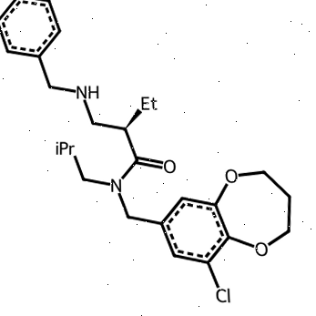 CC[C@H](CNCc1ccccc1)C(=O)N(Cc1cc(Cl)c2c(c1)OCCCO2)CC(C)C